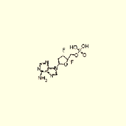 Nc1ncnc2c1ncn2[C@H]1C[C@H](F)[C@@](F)(COP(=O)(O)O)O1